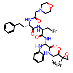 CC(C)C[C@H](NC(=O)[C@H](CCc1ccccc1)NC(=O)CN1CCOCC1)C(=O)N[C@@H](Nc1ccccc1)C(=O)N[C@@H](CC(C)C)C(=O)[C@@]1(C)CO1